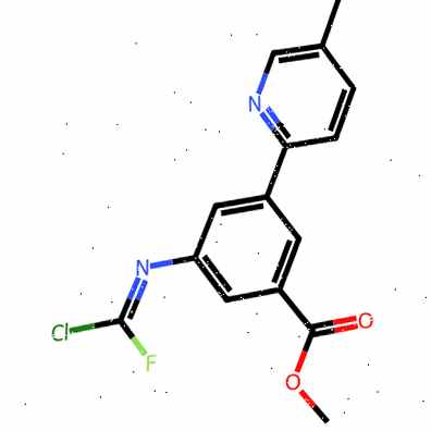 COC(=O)c1cc(/N=C(\F)Cl)cc(-c2ccc(C)cn2)c1